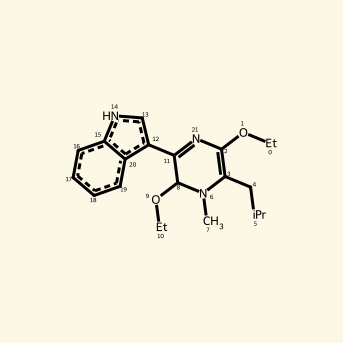 CCOC1=C(CC(C)C)N(C)C(OCC)C(c2c[nH]c3ccccc23)=N1